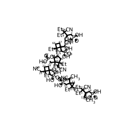 C=C(CP(=O)(O)O)C(C#N)(CC)CC.CC=C(CP(=O)(O)O)C(C#N)(CC)CC.CCC1(CC#N)CCC1(CC)CP(=O)(O)O.CCC1(CC#N)CCCC1(CC)CP(=O)(O)O.CCC1(CC)CC1(CP(=O)(O)O)C(C)C#N.CCC1(CC)CCC1(CC#N)CP(=O)(O)O